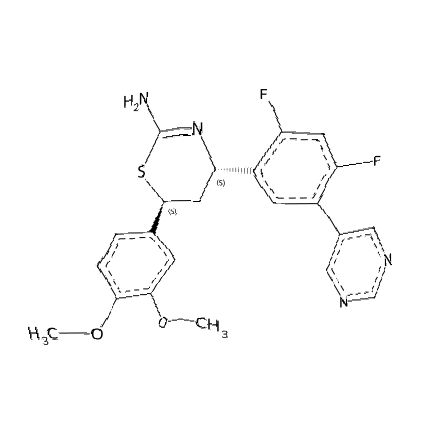 COc1ccc([C@@H]2C[C@@H](c3cc(-c4cncnc4)c(F)cc3F)N=C(N)S2)cc1OC